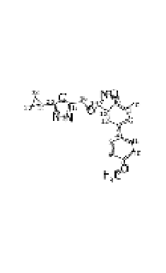 Cc1cc(-c2ccc(OC(F)(F)F)cc2)cc2c(OCc3nnc(C4CC4)o3)noc12